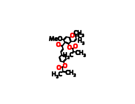 C=C(C)C(=O)Oc1ccc(/C=C/C(=O)c2c(OC)cc3c(c2OC(=O)C(=C)C)C=CC(C)(C)O3)cc1